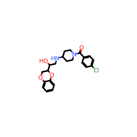 O=C(c1ccc(Cl)cc1)N1CCC(NCC(O)C2COc3ccccc3O2)CC1